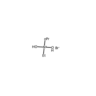 CCC[N+](O)(O)CC.[Br-]